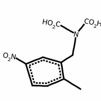 Cc1ccc([N+](=O)[O-])cc1CN(C(=O)O)C(=O)O